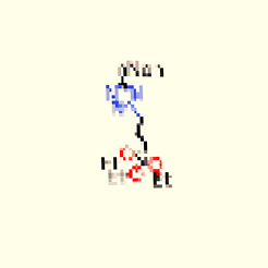 CCCCCCCCCc1nnn(CCC[Si](OCC)(OCC)OCC)n1